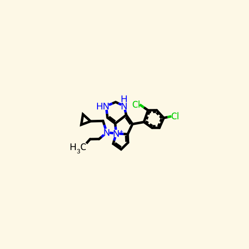 CCCN(CC1CC1)[N+]12C=CC=C1C(c1ccc(Cl)cc1Cl)=C1NCNC=C12